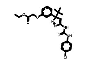 CCOC(=O)COc1cccc(C2(C(C)(C)C)C=C(NC(=O)Nc3ccc(Cl)cc3)N=N2)c1